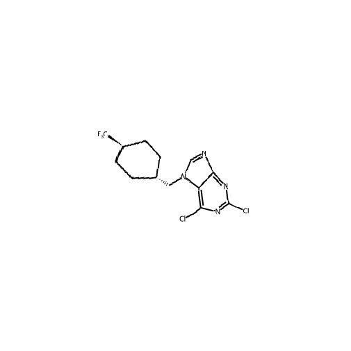 FC(F)(F)[C@H]1CC[C@H](Cn2cnc3nc(Cl)nc(Cl)c32)CC1